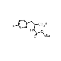 CCCCOC(=O)NC(Cc1ccc(F)cc1)C(=O)O